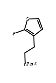 CCCCCCCc1ccsc1[P]